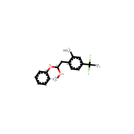 O=C(O)c1cc(C(F)(F)C(F)(F)F)ccc1CC(Oc1ccccc1)OC(F)(F)F